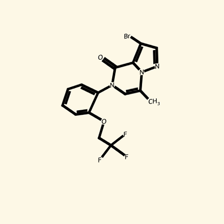 Cc1cn(-c2ccccc2OCC(F)(F)F)c(=O)c2c(Br)cnn12